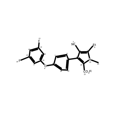 CCc1c(C#N)c(-c2ccc(Oc3cc(F)cc(F)c3)cc2)c(C(=O)O)n1C